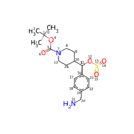 CC(C)(C)OC(=O)N1CCC(C(O[SH](=O)=O)c2ccc(CN)cc2)CC1